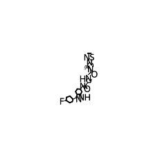 C[C@@H]1CN(c2nccs2)CCN1C(=O)CN1CCC(C(=O)Nc2ccc3c(-c4ccc(F)cc4)n[nH]c3c2)C1